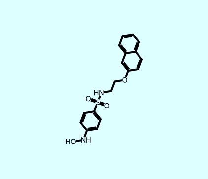 O=S(=O)(NCCOc1ccc2ccccc2c1)c1ccc(NO)cc1